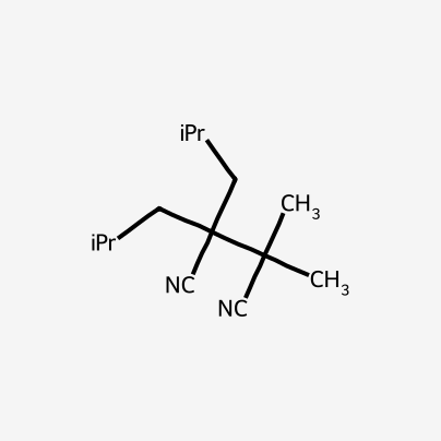 CC(C)CC(C#N)(CC(C)C)C(C)(C)C#N